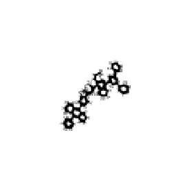 c1ccc(-c2cc(-c3ccccc3)cc(-c3c4ccccc4c(-c4ccc5sc6cc(-c7c8ccccc8c(-c8ccccc8)c8ccccc78)ccc6c5c4)c4ccccc34)c2)cc1